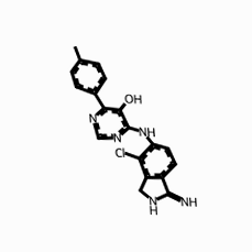 Cc1ccc(-c2ncnc(Nc3ccc4c(c3Cl)CNC4=N)c2O)cc1